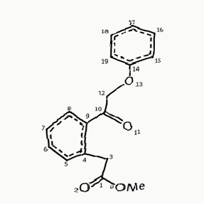 COC(=O)Cc1ccccc1C(=O)COc1ccccc1